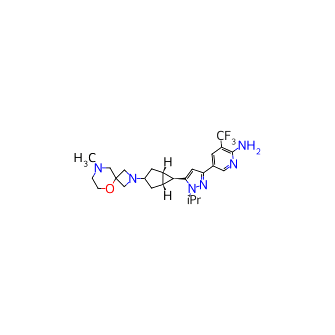 CC(C)n1nc(-c2cnc(N)c(C(F)(F)F)c2)cc1[C@H]1[C@@H]2CC(N3CC4(CN(C)CCO4)C3)C[C@@H]21